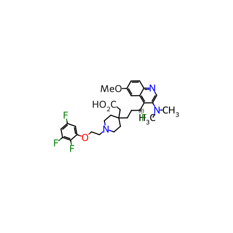 COc1ccc2ncc(N(C)C)c([C@H](F)CCC3(CC(=O)O)CCN(CCOc4cc(F)cc(F)c4F)CC3)c2c1